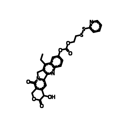 CCc1c2c(nc3ccc(OC(=O)OCCSSc4ccccn4)cc13)-c1cc3c(c(=O)n1C2)COC(=O)C3O